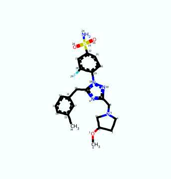 COC1CCN(Cc2nc(Cc3cccc(C)c3)n(-c3ccc(S(N)(=O)=O)cc3F)n2)C1